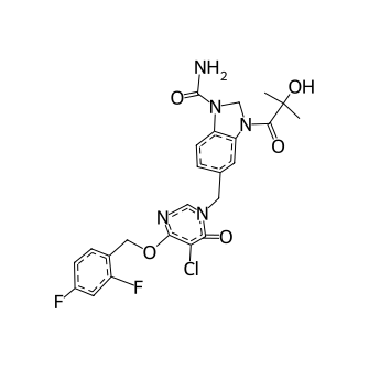 CC(C)(O)C(=O)N1CN(C(N)=O)c2ccc(Cn3cnc(OCc4ccc(F)cc4F)c(Cl)c3=O)cc21